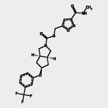 CNC(=O)c1cc(COC(=O)N2C[C@H]3C[C@@H](Oc4cccc(C(F)(F)F)c4)C[C@H]3C2)on1